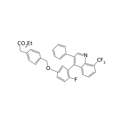 CCOC(=O)Cc1ccc(COc2ccc(F)c(-c3c(-c4ccccc4)cnc4c(C(F)(F)F)cccc34)c2)cc1